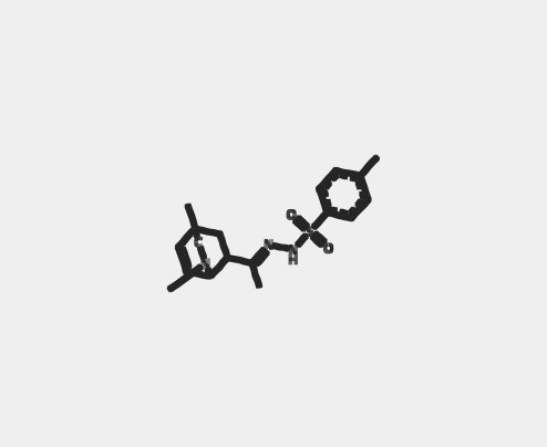 C/C(=N\NS(=O)(=O)c1ccc(C)cc1)C1CC2(C)C=CC1N(C)C2